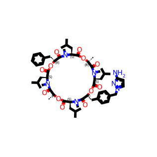 CC(C)C[C@H]1C(=O)O[C@H](Cc2ccc(Cn3ccc(N)n3)cc2)C(=O)N(C)[C@@H](CC(C)C)C(=O)O[C@H](C)C(=O)N(C)[C@@H](CC(C)C)C(=O)O[C@H](Cc2ccccc2)C(=O)N(C)[C@@H](CC(C)C)C(=O)O[C@H](C)C(=O)N1C